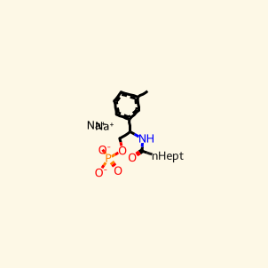 CCCCCCCC(=O)NC(COP(=O)([O-])[O-])c1cccc(C)c1.[Na+].[Na+]